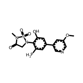 COc1cncc(-c2cc(O)c(N3CC(=O)N(C)S3(=O)=O)c(P)c2)c1